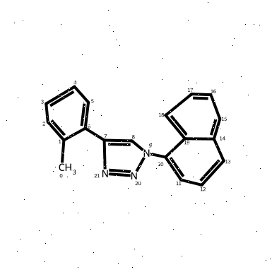 Cc1ccccc1-c1cn(-c2cccc3ccccc23)nn1